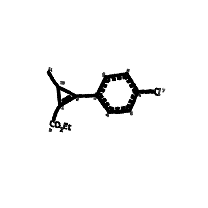 CCOC(=O)C1=C(c2ccc(Cl)cc2)C1C